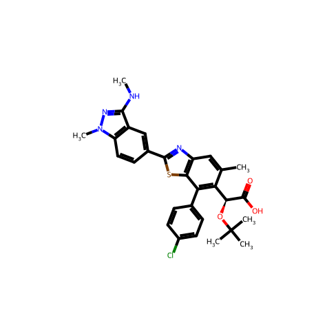 CNc1nn(C)c2ccc(-c3nc4cc(C)c([C@H](OC(C)(C)C)C(=O)O)c(-c5ccc(Cl)cc5)c4s3)cc12